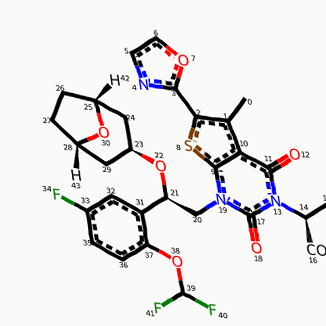 Cc1c(-c2ncco2)sc2c1c(=O)n([C@@H](C)C(=O)O)c(=O)n2C[C@H](O[C@@H]1C[C@H]2CC[C@@H](C1)O2)c1cc(F)ccc1OC(F)F